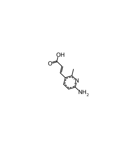 Cc1nc(N)ccc1/C=C/C(=O)O